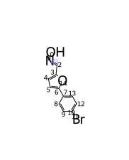 O/N=C/c1ccc(-c2ccc(Br)cc2)o1